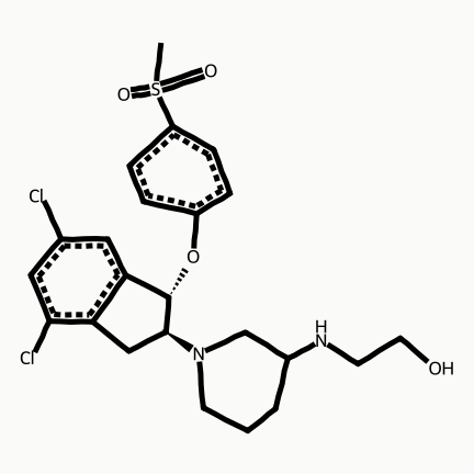 CS(=O)(=O)c1ccc(O[C@H]2c3cc(Cl)cc(Cl)c3C[C@@H]2N2CCCC(NCCO)C2)cc1